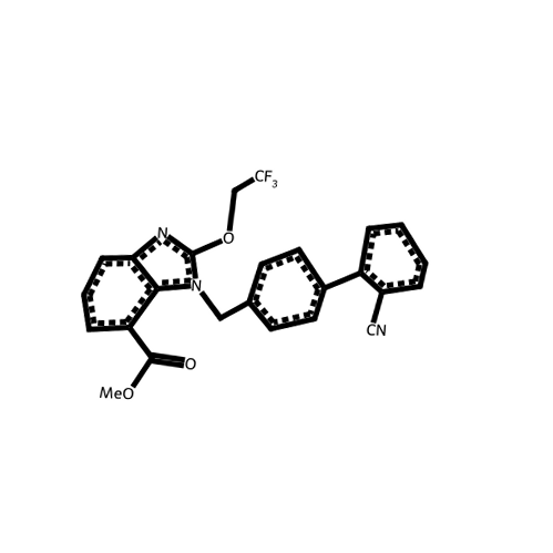 COC(=O)c1cccc2nc(OCC(F)(F)F)n(Cc3ccc(-c4ccccc4C#N)cc3)c12